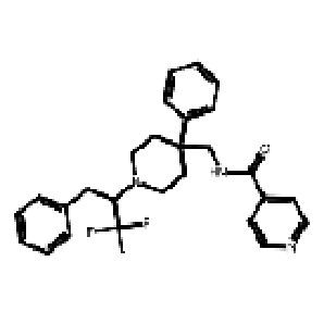 O=C(NCC1(c2ccccc2)CCN(C(Cc2ccccc2)C(F)(F)F)CC1)c1ccncc1